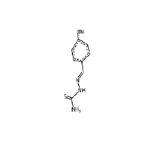 CC(C)(C)c1ccc(C=NNC(N)=S)cc1